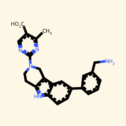 Cc1nc(N2CCc3[nH]c4ccc(-c5cccc(CN)c5)cc4c3C2)ncc1C(=O)O